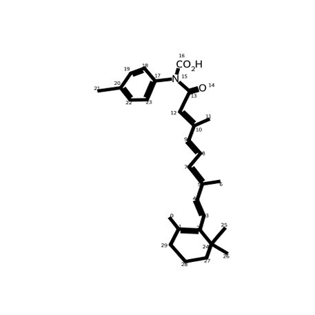 CC1=C(/C=C/C(C)=C/C=C/C(C)=C/C(=O)N(C(=O)O)c2ccc(C)cc2)C(C)(C)CCC1